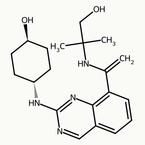 C=C(NC(C)(C)CO)c1cccc2cnc(N[C@H]3CC[C@H](O)CC3)nc12